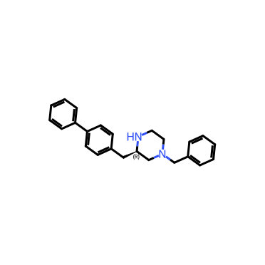 c1ccc(CN2CCN[C@H](Cc3ccc(-c4ccccc4)cc3)C2)cc1